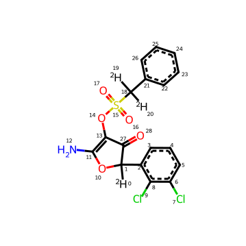 [2H]C1(c2cccc(Cl)c2Cl)OC(N)=C(OS(=O)(=O)C([2H])([2H])c2ccccc2)C1=O